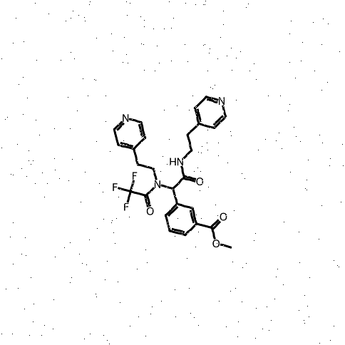 COC(=O)c1cccc(C(C(=O)NCCc2ccncc2)N(CCc2ccncc2)C(=O)C(F)(F)F)c1